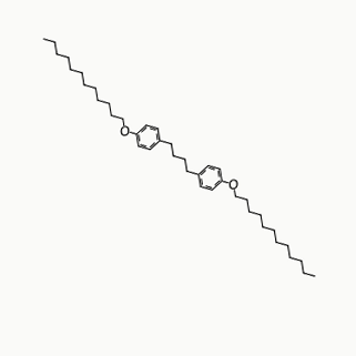 CCCCCCCCCCCCOc1ccc(CCCCc2ccc(OCCCCCCCCCCCC)cc2)cc1